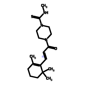 CNC(=S)N1CCN(C(=O)/C=C/C2=C(C)CCCC2(C)C)CC1